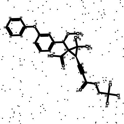 CO[C@H](c1cccc(Oc2ccccc2)c1)[C@@]1(C(=O)O)[C@H](C#CC(=O)OCC(Cl)(Cl)Cl)C1(C)C